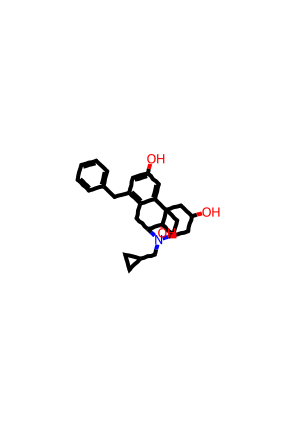 Oc1cc(Cc2ccccc2)c2c(c1)C13CCN(CC4CC4)C(C2)C1(O)CCC(O)C3